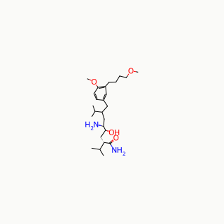 COCCCCc1cc(CC(C[C@H](N)[C@@H](O)C[C@H](C(N)=O)C(C)C)C(C)C)ccc1OC